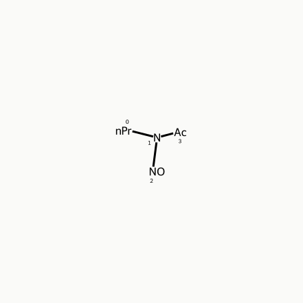 CCCN(N=O)C(C)=O